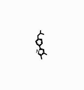 Cc1cnc(-c2ccc(CC(C)C)cc2)cc1C